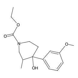 CCOC(=O)N1CCC(O)(c2cccc(OC)c2)C(C)C1